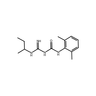 CCC(C)NC(=N)NC(=O)Nc1c(C)cccc1C